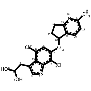 OC(O)Cc1csc2c(Cl)c(OC3CCc4nc(C(F)(F)F)ccc43)cc(Cl)c12